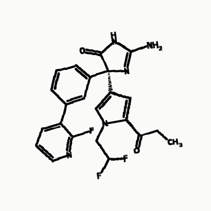 CCC(=O)c1cc([C@@]2(c3cccc(-c4cccnc4F)c3)N=C(N)NC2=O)cn1CC(F)F